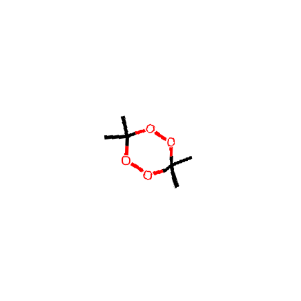 CC1(C)OOC(C)(C)OO1